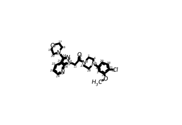 COc1cc(N2CCN(C(=O)Cn3nc(N4CCOCC4)c4cccnc43)CC2)ccc1Cl